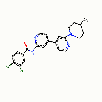 CC1CCN(c2cc(-c3ccnc(NC(=O)c4ccc(Cl)c(Cl)c4)c3)ccn2)CC1